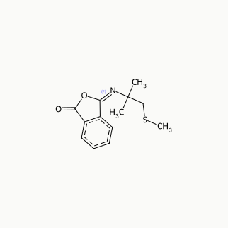 CSCC(C)(C)/N=C1/OC(=O)c2ccc[c]c21